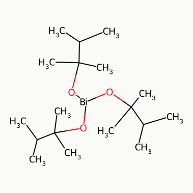 CC(C)C(C)(C)[O][Bi]([O]C(C)(C)C(C)C)[O]C(C)(C)C(C)C